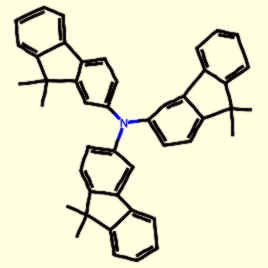 CC1(C)c2ccccc2-c2cc(N(c3ccc4c(c3)-c3ccccc3C4(C)C)c3ccc4c(c3)C(C)(C)c3ccccc3-4)ccc21